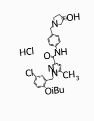 Cc1cc(C(=O)Nc2ccc(CN3CC[C@H](O)C3)cc2)nn1Cc1cc(Cl)ccc1OCC(C)C.Cl